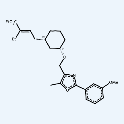 CCOC(=O)C(=CC[C@@H]1CCC[C@H](OCc2nc(-c3cccc(OC)c3)oc2C)C1)CC